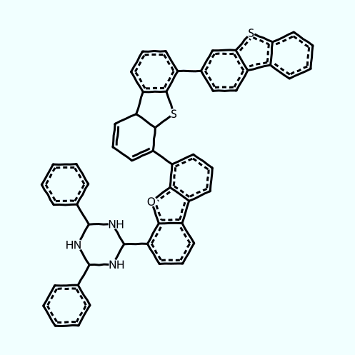 C1=CC2c3cccc(-c4ccc5c(c4)sc4ccccc45)c3SC2C(c2cccc3c2oc2c(C4NC(c5ccccc5)NC(c5ccccc5)N4)cccc23)=C1